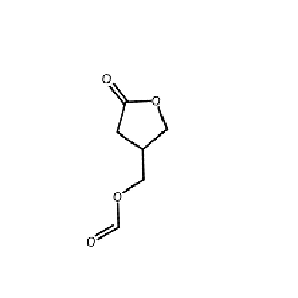 O=COCC1COC(=O)C1